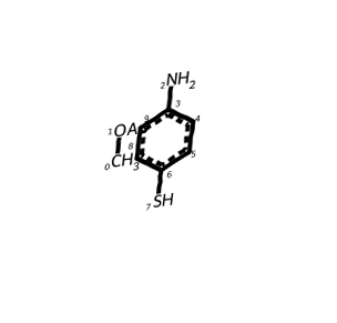 COC(C)=O.Nc1ccc(S)cc1